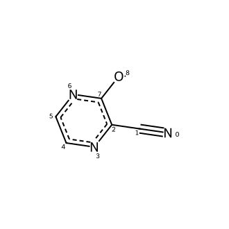 N#Cc1nccnc1[O]